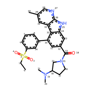 CCS(=O)(=O)c1cccc(-c2cc(C(=O)N3CCC(N(C)C)C3)cc3[nH]c4ncc(C)cc4c23)c1